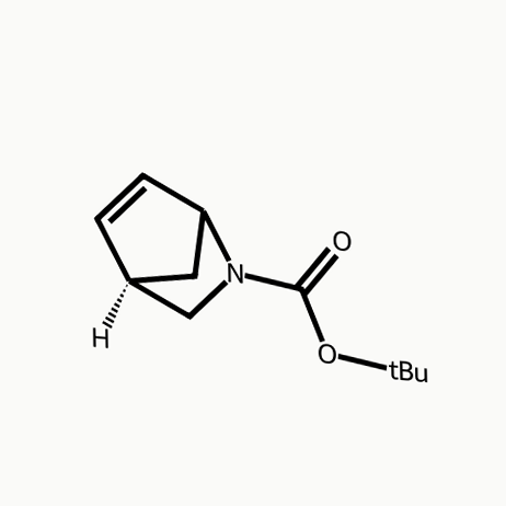 CC(C)(C)OC(=O)N1C[C@H]2C=CC1C2